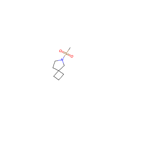 CS(=O)(=O)N1CCC2(CCC2)C1